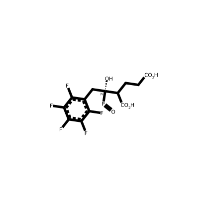 O=P[C@@](O)(Cc1c(F)c(F)c(F)c(F)c1F)C(CCC(=O)O)C(=O)O